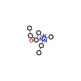 c1ccc(-c2ccc(-c3nc(-c4ccccc4)nc(-c4ccccc4-c4cccc5oc6ccc(-c7ccccc7)cc6c45)n3)cc2)cc1